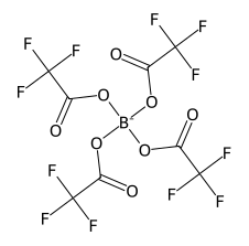 O=C(O[B-](OC(=O)C(F)(F)F)(OC(=O)C(F)(F)F)OC(=O)C(F)(F)F)C(F)(F)F